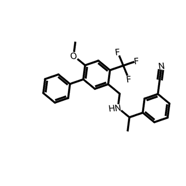 COc1cc(C(F)(F)F)c(CNC(C)c2cccc(C#N)c2)cc1-c1ccccc1